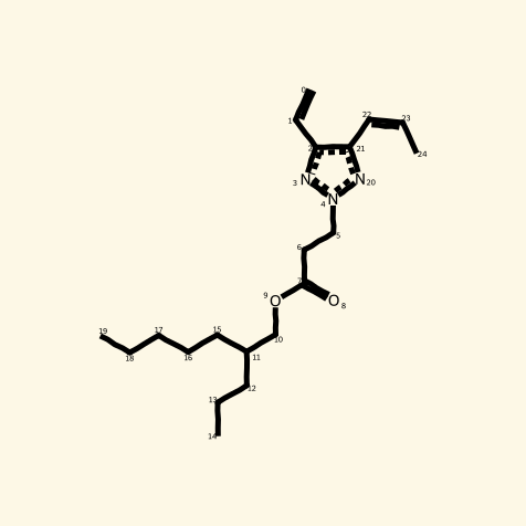 C=Cc1nn(CCC(=O)OCC(CCC)CCCCC)nc1/C=C\C